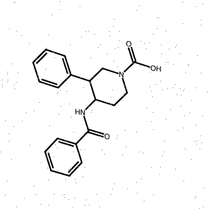 O=C(NC1CCN(C(=O)O)CC1c1ccccc1)c1ccccc1